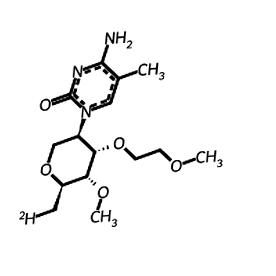 [2H]C[C@H]1OC[C@@H](n2cc(C)c(N)nc2=O)[C@H](OCCOC)[C@@H]1OC